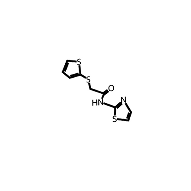 O=C(CSc1cccs1)Nc1nccs1